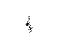 C=CC1=c2/c(=C\C)c3sc(C=C)c(C=C)c3n2C(C)=C(/C=C(\C)c2nc(-c3ccc4c(c3)C(C)(C)c3ccccc3-4)c3ccccc3n2)C1(C)C